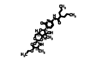 CCCC(CCC)C(=O)Nc1ccn([C@@H]2O[C@@H]3COP(=O)(N[C@@H](C)C(=O)OCC)O[C@H]3[C@@]2(C)O)c(=O)n1